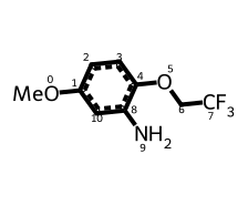 COc1ccc(OCC(F)(F)F)c(N)c1